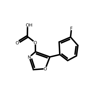 O=C(O)Oc1ncoc1-c1cccc(F)c1